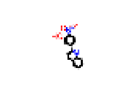 O=[N+]([O-])c1ccc(-c2ccc3ccccc3n2)cc1O